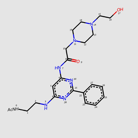 CC(=O)NCCNc1cc(NC(=O)CN2CCN(CCO)CC2)nc(-c2ccccc2)n1